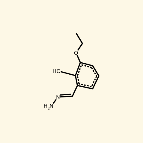 CCOc1cccc(C=NN)c1O